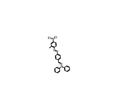 CCN(CC)c1ccc(N=Nc2ccc(/C=N/N(c3ccccc3)c3ccccc3)cc2)c(C)c1